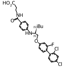 CC[C@H](C)[C@@H](COc1ccc(-c2ccc(Cl)cc2Cl)c(F)c1)Nc1ccc(C(=O)NCCC(=O)O)cc1